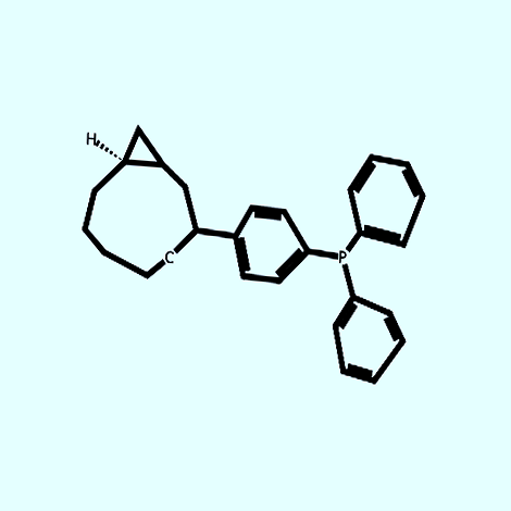 c1ccc(P(c2ccccc2)c2ccc(C3CCCCC[C@H]4CC4C3)cc2)cc1